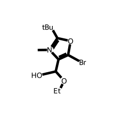 CCOC(O)c1c(Br)oc(C(C)(C)C)[n+]1C